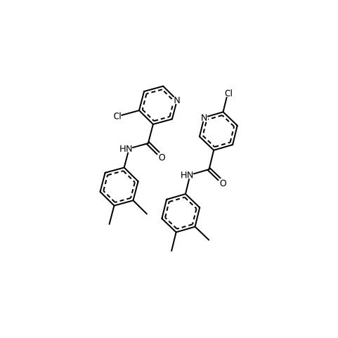 Cc1ccc(NC(=O)c2ccc(Cl)nc2)cc1C.Cc1ccc(NC(=O)c2cnccc2Cl)cc1C